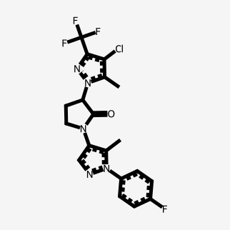 Cc1c(N2CCC(n3nc(C(F)(F)F)c(Cl)c3C)C2=O)cnn1-c1ccc(F)cc1